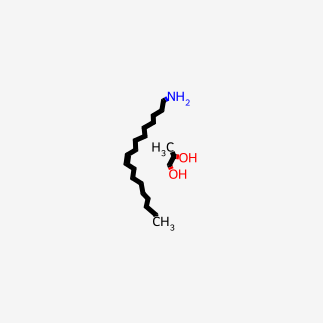 CC(O)CO.CCCCCCCC/C=C\CCCCCCCCN